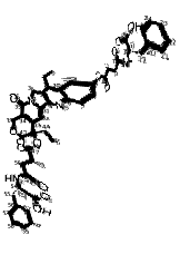 CCc1c2c(nc3ccc(OC(=O)CCC(=O)N[C@@H](Cc4ccccc4)C(=O)O)cc13)-c1cc3c(c(=O)n1C2)COC(=O)[C@@]3(CC)OC(=O)CCC(=O)N[C@@H](Cc1ccccc1)C(=O)O